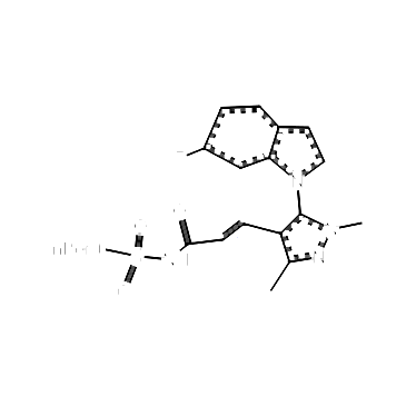 CCCCCS(=O)(=O)NC(=O)/C=C/c1c(C)nn(C)c1-n1ccc2ccc(F)cc21